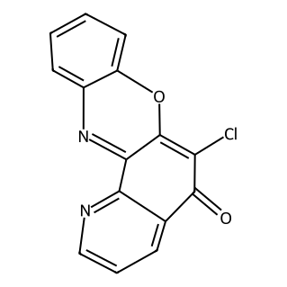 O=c1c(Cl)c2oc3ccccc3nc-2c2ncccc12